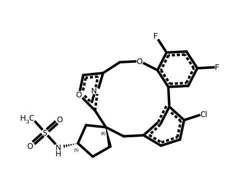 CS(=O)(=O)N[C@H]1CC[C@@]2(Cc3ccc(Cl)c(c3)-c3cc(F)cc(F)c3OCc3coc2n3)C1